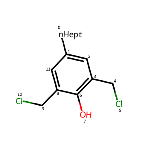 CCCCCCCc1cc(CCl)c(O)c(CCl)c1